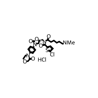 CNCCCCCC(=O)N(C[C@H]1CN(c2ccc(N3CCOCC3=O)cc2)C(=O)O1)C(=O)c1ccc(Cl)s1.Cl